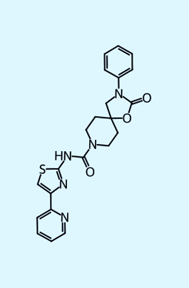 O=C(Nc1nc(-c2ccccn2)cs1)N1CCC2(CC1)CN(c1ccccc1)C(=O)O2